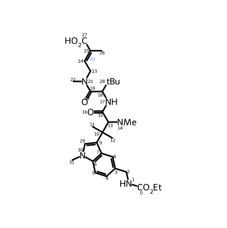 CCOC(=O)NCc1ccc2c(c1)c(C(C)(C)C(NC)C(=O)NC(C(=O)N(C)C/C=C(\C)C(=O)O)C(C)(C)C)cn2C